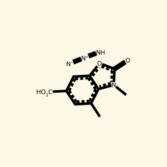 Cc1cc(C(=O)O)cc2oc(=O)n(C)c12.[N-]=[N+]=N